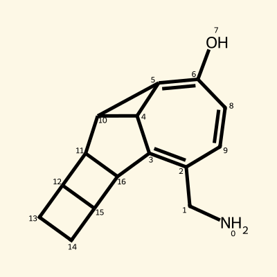 NCC1=C2C3C(=C(O)C=C1)C3C1C3CCC3C21